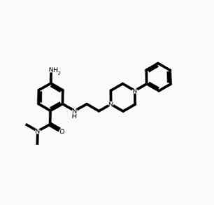 CN(C)C(=O)c1ccc(N)cc1NCCN1CCN(c2ccccc2)CC1